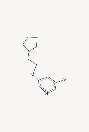 Brc1cncc(OCCN2CCCC2)c1